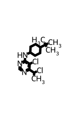 CC(Cl)c1ncnc(NC2CCC(C(C)(C)C)CC2)c1Cl